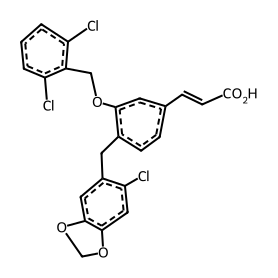 O=C(O)C=Cc1ccc(Cc2cc3c(cc2Cl)OCO3)c(OCc2c(Cl)cccc2Cl)c1